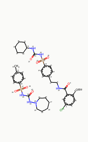 COc1ccc(Cl)cc1C(=O)NCCc1ccc(S(=O)(=O)NC(=O)NC2CCCCC2)cc1.Cc1ccc(S(=O)(=O)NC(=O)NN2CCCCCC2)cc1